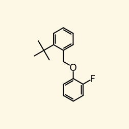 CC(C)(C)c1ccccc1COc1ccccc1F